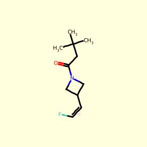 CC(C)(C)CC(=O)N1CC(/C=C\F)C1